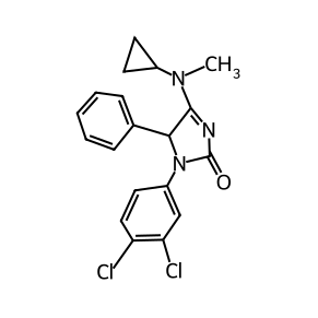 CN(C1=NC(=O)N(c2ccc(Cl)c(Cl)c2)C1c1ccccc1)C1CC1